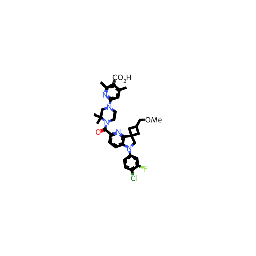 COCC1CC2(C1)CN(c1ccc(Cl)c(F)c1)c1ccc(C(=O)N3CCN(c4cc(C)c(C(=O)O)c(C)n4)CC3(C)C)nc12